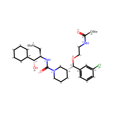 CNC[C@@H](NC(=O)N1CCC[C@@H](C(OCCNC(=O)OC)c2cccc(Cl)c2)C1)[C@H](O)C1CCCCC1